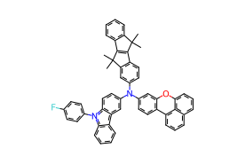 CC1(C)C2=C(c3ccccc31)C(C)(C)c1cc(N(c3ccc4c(c3)Oc3cccc5cccc-4c35)c3ccc4c(c3)c3ccccc3n4-c3ccc(F)cc3)ccc12